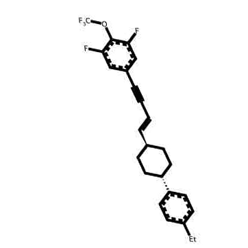 CCc1ccc([C@H]2CC[C@H](C=CC#Cc3cc(F)c(OC(F)(F)F)c(F)c3)CC2)cc1